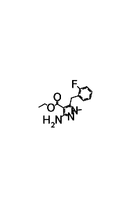 CCOC(=O)c1c(N)nn(C)c1Cc1ccccc1F